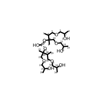 CC(O)COCC(C)C(C)(COCC(C)O)OP(O)OC(C)(COCC(C)O)C(C)COCC(C)O